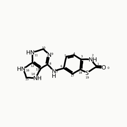 O=c1[nH]c2ccc(NC3=NCNC4=C3NCN4)cc2s1